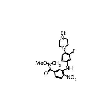 CCN1CCN(c2ccc(Nc3cc(C(=O)N(C)OC)ccc3[N+](=O)[O-])cc2F)CC1